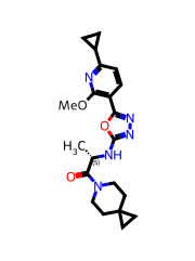 COc1nc(C2CC2)ccc1-c1nnc(N[C@@H](C)C(=O)N2CCC3(CC2)CC3)o1